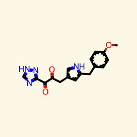 COc1ccc(Cc2cc(CC(=O)C(=O)c3nc[nH]n3)c[nH]2)cc1